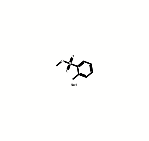 COS(=O)(=O)c1ccccc1C.[NaH]